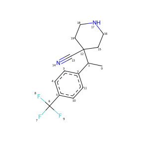 CC(c1ccc(C(F)(F)F)cc1)C1(C#N)CCNCC1